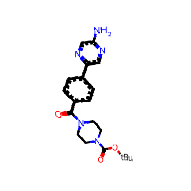 CC(C)(C)OC(=O)N1CCN(C(=O)c2ccc(-c3cnc(N)cn3)cc2)CC1